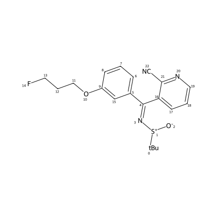 CC(C)(C)[S+]([O-])/N=C(/c1cccc(OCCCF)c1)c1cccnc1C#N